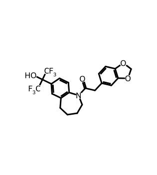 O=C(Cc1ccc2c(c1)OCO2)N1CCCCc2cc(C(O)(C(F)(F)F)C(F)(F)F)ccc21